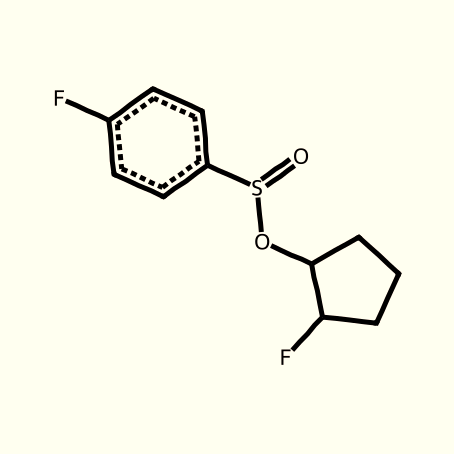 O=S(OC1CCCC1F)c1ccc(F)cc1